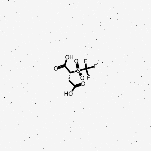 O=C(O)C[C@H](C(=O)O)S(=O)(=O)C(F)(F)F